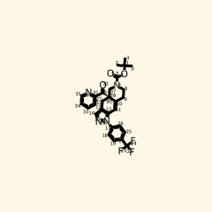 CC(C)(C)OC(=O)N1CCC2=Cc3c(cnn3-c3ccc(C(F)(F)F)cc3)C[C@]2(C(=O)c2ccccn2)C1